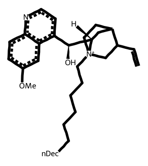 C=CC1C[N+]2(CCCCCCCCCCCCCCCC)CCC1C[C@H]2[C@@H](O)c1ccnc2ccc(OC)cc12